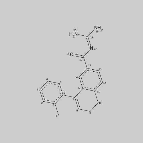 Cc1ccccc1C1=CCCc2ccc(C(=O)N=C(N)N)cc21